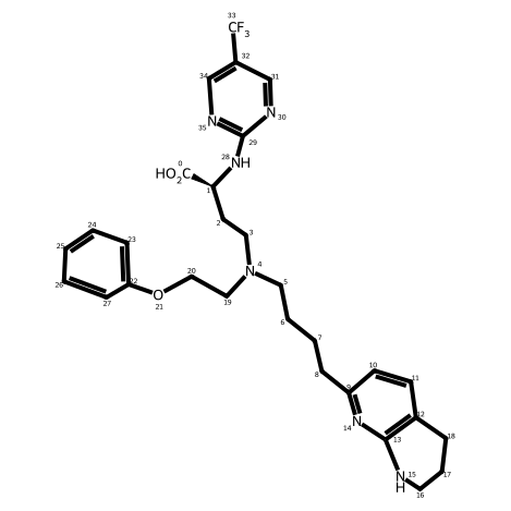 O=C(O)[C@H](CCN(CCCCc1ccc2c(n1)NCCC2)CCOc1ccccc1)Nc1ncc(C(F)(F)F)cn1